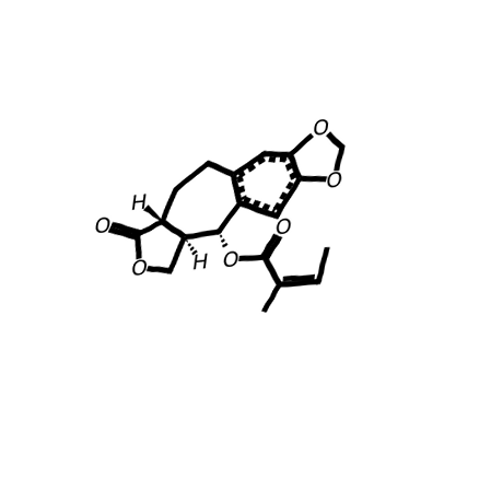 C/C=C(/C)C(=O)O[C@H]1c2cc3c(cc2CC[C@H]2C(=O)OC[C@@H]21)OCO3